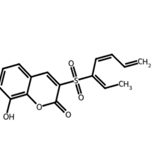 C=C/C=C\C(=C/C)S(=O)(=O)c1cc2cccc(O)c2oc1=O